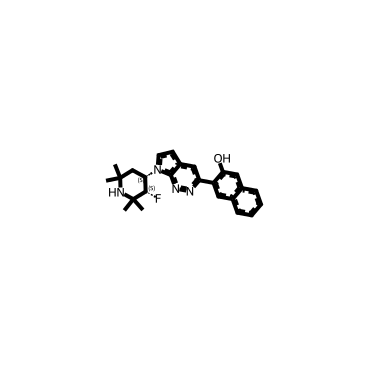 CC1(C)C[C@H](n2ccc3cc(-c4cc5ccccc5cc4O)nnc32)[C@H](F)C(C)(C)N1